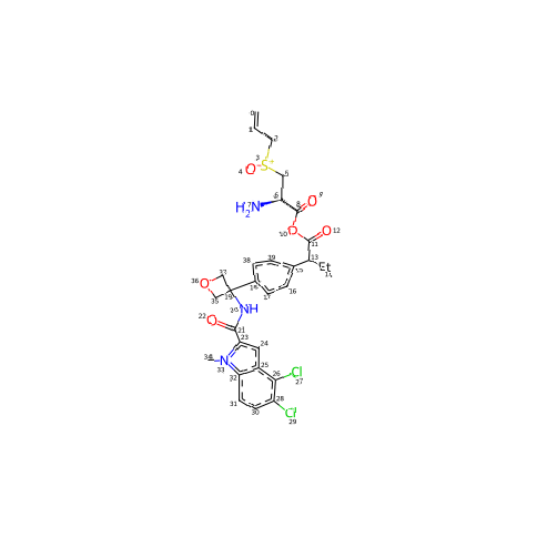 C=CC[S+]([O-])C[C@H](N)C(=O)OC(=O)C(CC)c1ccc(C2(NC(=O)c3cc4c(Cl)c(Cl)ccc4n3C)COC2)cc1